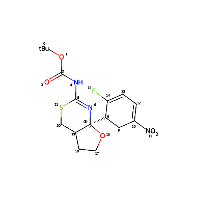 CC(C)(C)OC(=O)NC1=N[C@@]2(C3CC([N+](=O)[O-])=CC=C3F)OCCC2CS1